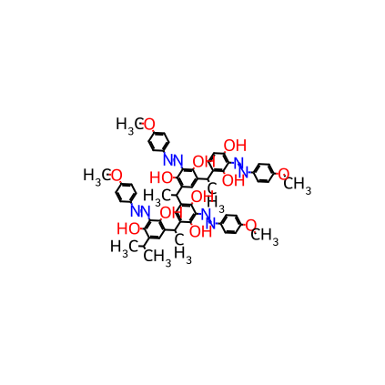 COc1ccc(N=Nc2c(O)ccc(C(C)c3cc(C(C)c4cc(C(C)c5cc(C(C)C)c(O)c(N=Nc6ccc(OC)cc6)c5O)c(O)c(N=Nc5ccc(OC)cc5)c4O)c(O)c(N=Nc4ccc(OC)cc4)c3O)c2O)cc1